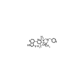 Cc1cc(-c2ccnc3[nH]cc(F)c23)ncc1C1(O)[C@H](C)CN(Cc2ccncc2)C[C@@H]1C